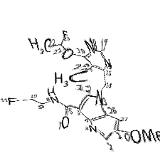 COc1cnc2c(C(=O)NCCF)cn(Cc3ncnc(OC(C)F)c3C)c2c1